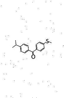 CSc1ccc(C(=O)c2ccc(C(C)C)cc2)cc1